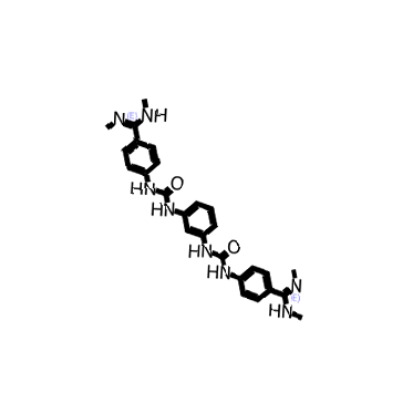 C/N=C(/NC)c1ccc(NC(=O)Nc2cccc(NC(=O)Nc3ccc(/C(=N\C)NC)cc3)c2)cc1